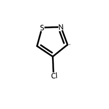 Clc1[c]nsc1